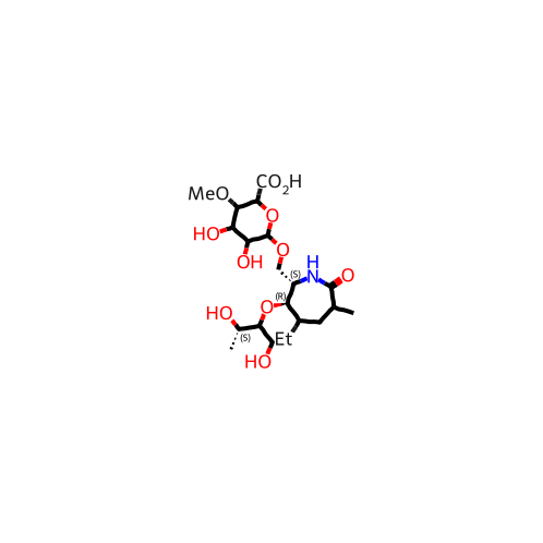 CCC1CC(C)C(=O)N[C@@H](COC2OC(C(=O)O)C(OC)C(O)C2O)[C@@H]1OC(CO)[C@H](C)O